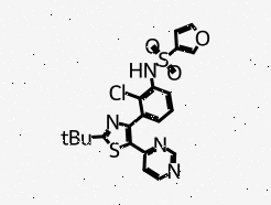 CC(C)(C)c1nc(-c2cccc(NS(=O)(=O)c3ccoc3)c2Cl)c(-c2ccncn2)s1